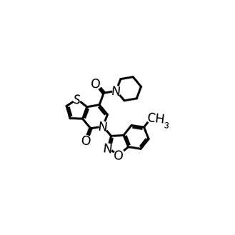 Cc1ccc2onc(-n3cc(C(=O)N4CCCCC4)c4sccc4c3=O)c2c1